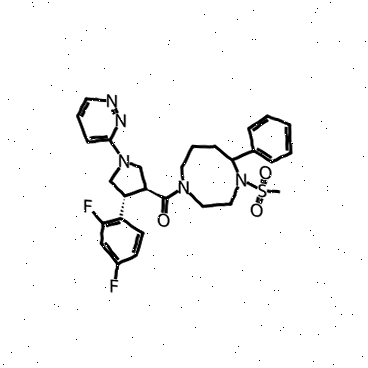 CS(=O)(=O)N1CCN(C(=O)[C@@H]2CN(c3cccnn3)C[C@H]2c2ccc(F)cc2F)CCCC1c1ccccc1